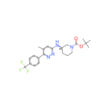 Cc1cc(N[C@@H]2CCCN(C(=O)OC(C)(C)C)C2)nnc1-c1ccc(C(F)(F)F)cc1